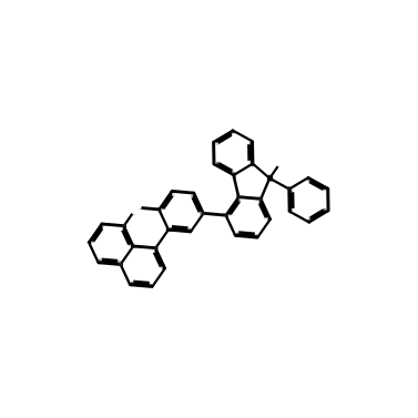 CC1(c2ccccc2)c2ccccc2-c2c(-c3ccc4c(c3)-c3cccc5cccc(c35)S4)cccc21